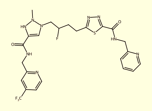 CN1NC(C(=O)NCc2cc(C(F)(F)F)ccn2)=CN1CC(F)CCc1nnc(C(=O)NCc2ccccn2)s1